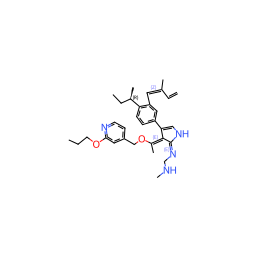 C=C/C(C)=C\c1cc(C2=CNC(=N/CNC)/C2=C(\C)OCc2ccnc(OCCC)c2)ccc1[C@H](C)CC